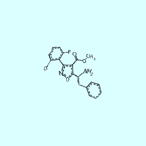 COC(=O)c1c(-c2c(F)cccc2Cl)noc1C(N)=Cc1ccccc1